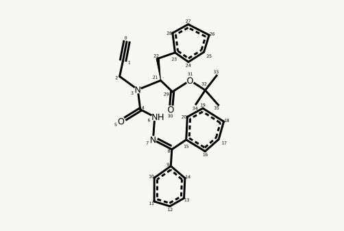 C#CCN(C(=O)NN=C(c1ccccc1)c1ccccc1)[C@@H](Cc1ccccc1)C(=O)OC(C)(C)C